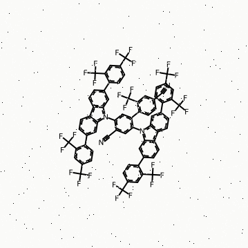 N#Cc1ccc(-c2cc(-n3c4cc(-c5ccc(C(F)(F)F)cc5C(F)(F)F)ccc4c4ccc(-c5ccc(C(F)(F)F)cc5C(F)(F)F)cc43)c(C#N)cc2-n2c3cc(-c4ccc(C(F)(F)F)cc4C(F)(F)F)ccc3c3ccc(-c4ccc(C(F)(F)F)cc4C(F)(F)F)cc32)c(C(F)(F)F)c1